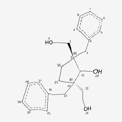 OC[C@]1(Cc2ccccc2)CC[C@](CO)(Cc2ccccc2)C1O